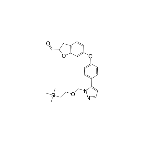 C[Si](C)(C)CCOCn1nccc1-c1ccc(Oc2ccc3c(c2)OC(C=O)C3)cc1